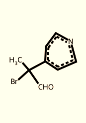 CC(Br)(C=O)c1ccncc1